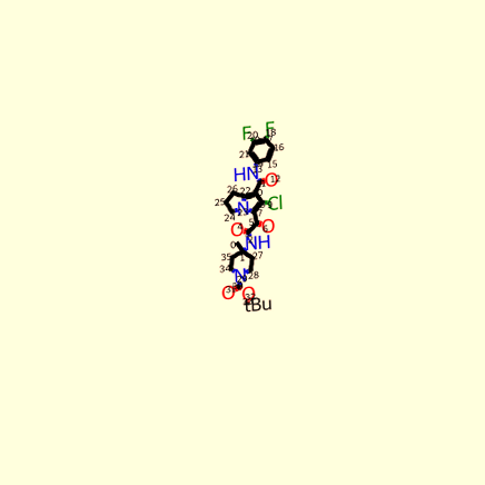 CC1(NC(=O)C(=O)c2c(Cl)c(C(=O)Nc3ccc(F)c(F)c3)c3n2CCC3)CCN(C(=O)OC(C)(C)C)CC1